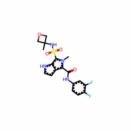 Cn1c(C(=O)Nc2ccc(F)c(F)c2)c2cc[nH]c2c1S(=O)(=O)NC1(C)COC1